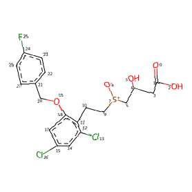 O=C(O)CC(O)C[S+]([O-])CCc1c(Cl)cc(Cl)cc1OCc1ccc(F)cc1